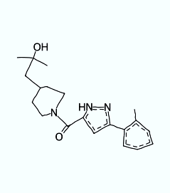 Cc1ccccc1-c1cc(C(=O)N2CCC(CC(C)(C)O)CC2)[nH]n1